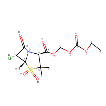 CCOC(=O)OCOC(=O)[C@@H]1N2C(=O)[C@@H](Cl)[C@H]2S(=O)(=O)C1(C)C